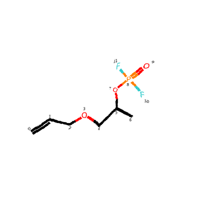 C=CCOCC(C)OP(=O)(F)F